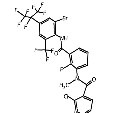 CN(C(=O)c1cccnc1Cl)c1cccc(C(=O)Nc2c(Br)cc(C(F)(C(F)(F)F)C(F)(F)F)cc2C(F)(F)F)c1F